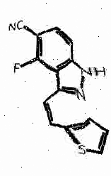 N#Cc1ccc2[nH]nc(/C=C\c3cccs3)c2c1F